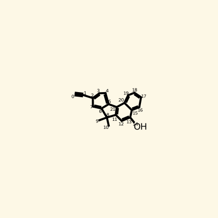 C#Cc1ccc2c(c1)C(C)(C)c1cc(O)c3ccccc3c1-2